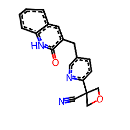 N#CC1(c2ccc(Cc3cc4ccccc4[nH]c3=O)cn2)COC1